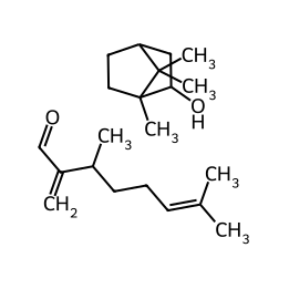 C=C(C=O)C(C)CCC=C(C)C.CC1(C)C2CCC1(C)C(O)C2